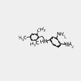 Cc1cc(C)c(CNc2ccc(N)c(N)c2)c(C)c1